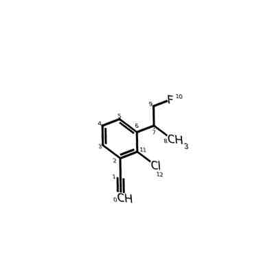 C#Cc1cccc([C](C)CF)c1Cl